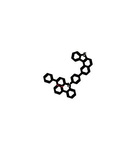 c1ccc(-c2ccc(N(c3ccc(-c4ccc5ccc6sc7ccccc7c6c5c4)cc3)c3ccccc3-c3ccccc3)cc2)cc1